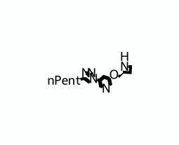 CCCCCc1cn(-c2cncc(OC[C@@H]3CCN3)c2)nn1